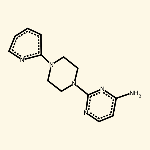 Nc1ccnc(N2CCN(c3ccccn3)CC2)n1